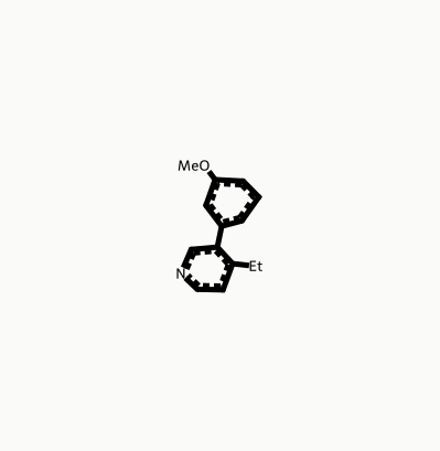 CCc1ccncc1-c1cccc(OC)c1